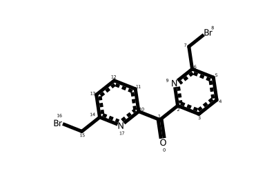 O=C(c1cccc(CBr)n1)c1cccc(CBr)n1